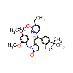 CCc1ccc(/C(=C/[C@H]2CCC(=O)N2Cc2ccc(OC)cc2OC)c2ccc(C(C)(C)C)cc2)nc1OC